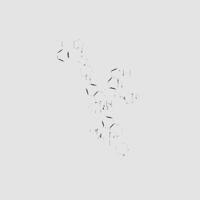 CC(C)c1ccccc1[C@@H]1CCCN1C1CC2(CCN(c3ccc(C(=O)NS(=O)(=O)c4cc5c(c([N+](=O)[O-])c4)N[C@@H](C4CCC(C)(C)CC4)CO5)c(Oc4cc5cc[nH]c5nc4O[C@@H]4CCNC4)c3)CC2)C1